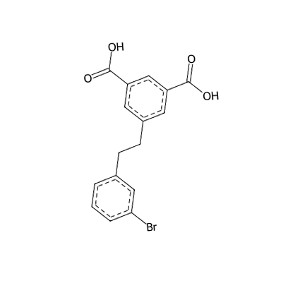 O=C(O)c1cc(CCc2cccc(Br)c2)cc(C(=O)O)c1